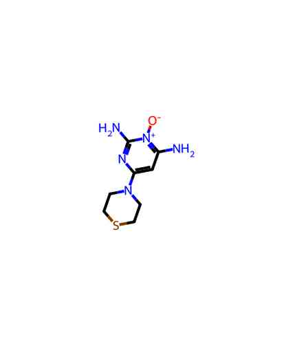 Nc1cc(N2CCSCC2)nc(N)[n+]1[O-]